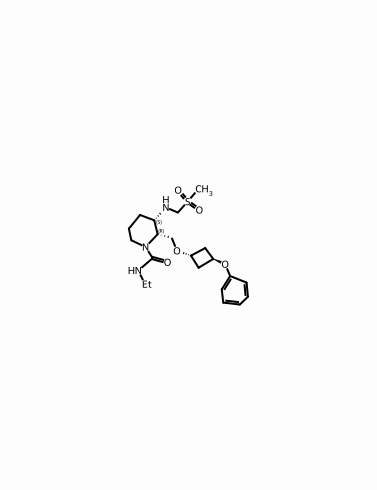 CCNC(=O)N1CCC[C@H](NCS(C)(=O)=O)[C@@H]1CO[C@H]1C[C@H](Oc2ccccc2)C1